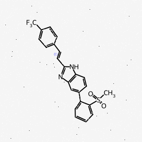 CS(=O)(=O)c1ccccc1-c1ccc2[nH]c(/C=C/c3ccc(C(F)(F)F)cc3)nc2c1